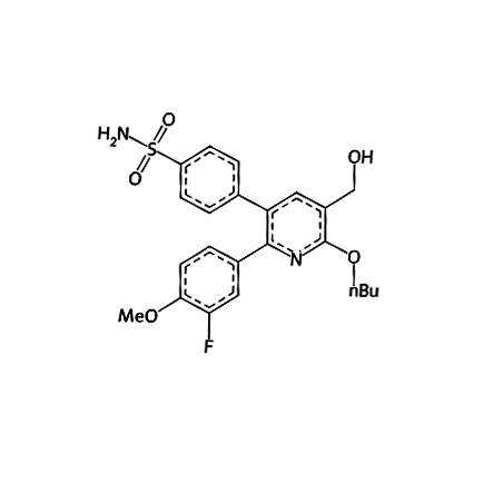 CCCCOc1nc(-c2ccc(OC)c(F)c2)c(-c2ccc(S(N)(=O)=O)cc2)cc1CO